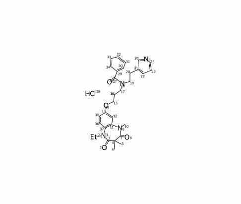 CCN1C(=O)C(C)(C)C(=O)N(C)c2cc(OCCCN(CCc3cccnc3)C(=O)c3ccccc3)ccc21.Cl